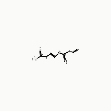 C=CCC(=O)OC=CCC(=O)O